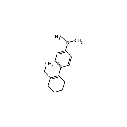 CCC1=C(c2ccc(N(C)C)cc2)CCCC1